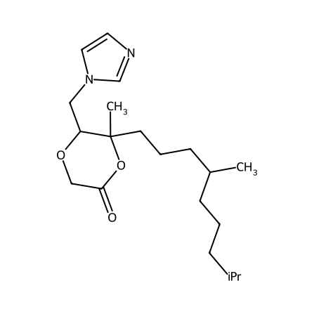 CC(C)CCCC(C)CCCC1(C)OC(=O)COC1Cn1ccnc1